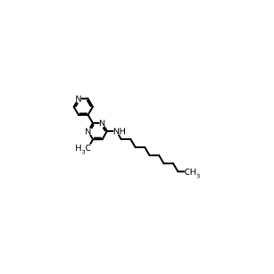 CCCCCCCCCCNc1cc(C)nc(-c2ccncc2)n1